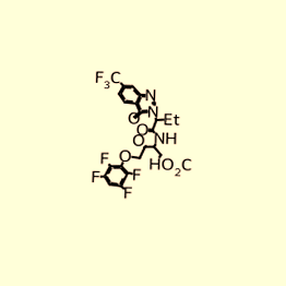 CCC(C(=O)NC(CC(=O)O)C(=O)COc1c(F)c(F)cc(F)c1F)n1cnc2cc(C(F)(F)F)ccc2c1=O